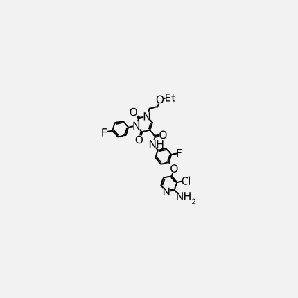 CCOCCn1cc(C(=O)Nc2ccc(Oc3ccnc(N)c3Cl)c(F)c2)c(=O)n(-c2ccc(F)cc2)c1=O